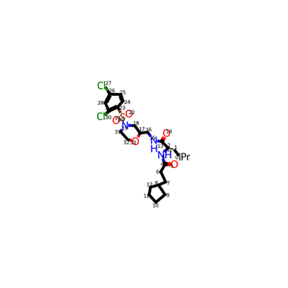 CC(C)C[C@H](NC(=O)CCC1CCCC1)C(=O)NCC1CN(S(=O)(=O)c2ccc(Cl)cc2Cl)CCO1